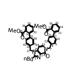 CCCCc1nc2c(=O)n(Cc3ccc(-c4ccccc4C(=O)OC)cc3)ccc2n1Cc1ccc(-c2ccccc2C(=O)OC)cc1